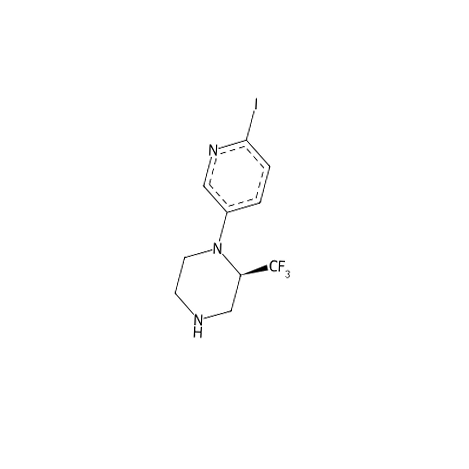 FC(F)(F)[C@H]1CNCCN1c1ccc(I)nc1